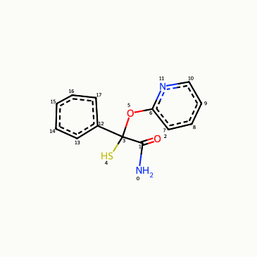 NC(=O)C(S)(Oc1ccccn1)c1ccccc1